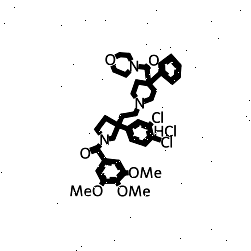 COc1cc(C(=O)N2CCC(CCN3CCC(C(=O)N4CCOCC4)(c4ccccc4)CC3)(c3ccc(Cl)c(Cl)c3)C2)cc(OC)c1OC.Cl